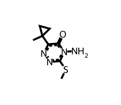 CSc1nnc(C2(C)CC2)c(=O)n1N